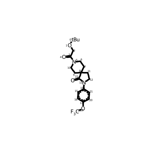 CC(C)(C)OCC(=O)N1CCC2(CC1)CCN(c1ccc(OC(F)(F)F)cc1)C2=O